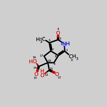 Cc1[nH]c(=O)c(C)c2c1CC(C(=O)O)(C(=O)O)C2